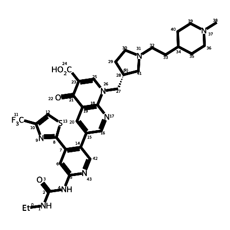 CCNC(=O)Nc1cc(-c2nc(C(F)(F)F)cs2)c(-c2cnc3c(c2)c(=O)c(C(=O)O)cn3C[C@@H]2CCN(CCC3CCN(C)CC3)C2)cn1